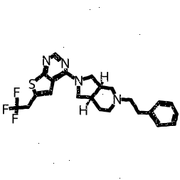 FC(F)(F)Cc1cc2c(N3C[C@H]4CCN(CCc5ccccc5)C[C@H]4C3)ncnc2s1